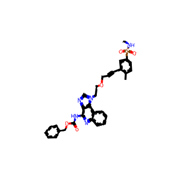 CNS(=O)(=O)c1ccc(C)c(C#CCOCCn2cnc3c(NC(=O)OCc4ccccc4)nc4ccccc4c32)c1